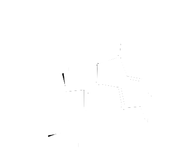 C#CCn1c(=O)n([C@@H]2O[C@H]([C@@H](O)C(F)(F)F)[C@H](F)[C@H]2O)c2nc(N)nc(Cl)c21